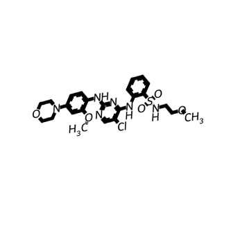 COCCNS(=O)(=O)c1ccccc1Nc1nc(Nc2ccc(N3CCOCC3)cc2OC)ncc1Cl